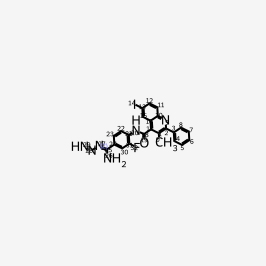 Cc1c(-c2ccccc2)nc2ccc(I)cc2c1C(=O)Nc1ccc(/C(N)=N/N=N)cc1F